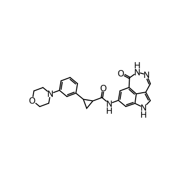 O=C1NN=Cc2c[nH]c3cc(NC(=O)C4CC4c4cccc(N5CCOCC5)c4)cc1c23